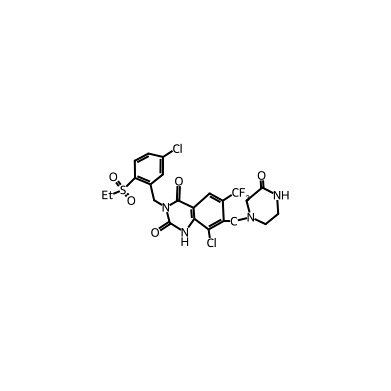 CCS(=O)(=O)c1ccc(Cl)cc1Cn1c(=O)[nH]c2c(Cl)c(CN3CCNC(=O)C3)c(C(F)(F)F)cc2c1=O